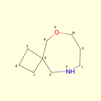 C1CNCC2(CCC2)COC1